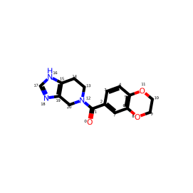 O=C(c1ccc2c(c1)OCCO2)N1CCc2[nH]cnc2C1